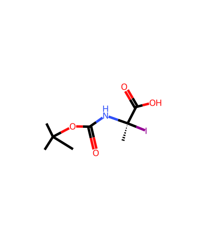 CC(C)(C)OC(=O)N[C@](C)(I)C(=O)O